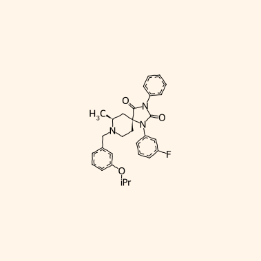 CC(C)Oc1cccc(CN2CC[C@@]3(C[C@@H]2C)C(=O)N(c2ccccc2)C(=O)N3c2cccc(F)c2)c1